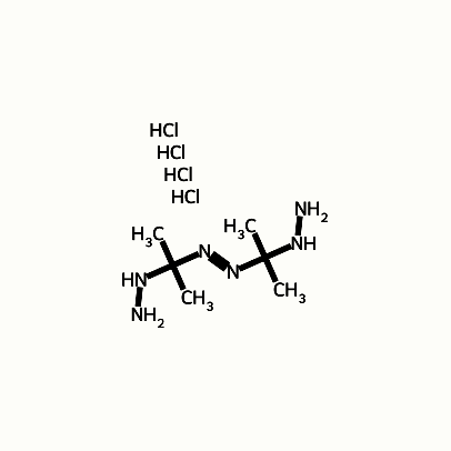 CC(C)(N=NC(C)(C)NN)NN.Cl.Cl.Cl.Cl